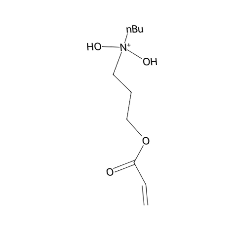 C=CC(=O)OCCC[N+](O)(O)CCCC